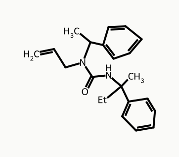 C=CCN(C(=O)NC(C)(CC)c1ccccc1)C(C)c1ccccc1